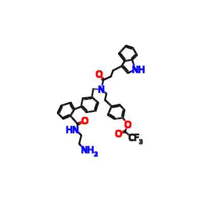 NCCNC(=O)c1ccccc1-c1cccc(CN(CCc2ccc(OC(=O)C(F)(F)F)cc2)C(=O)CCc2c[nH]c3ccccc23)c1